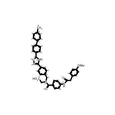 COc1ccc(CC(=O)Nc2ccc(C(=O)N(CC(=O)O)Cc3ccc(C4=NOC(c5ccc(-c6ccc(C)cc6)cc5)N4)cc3)cc2)cc1